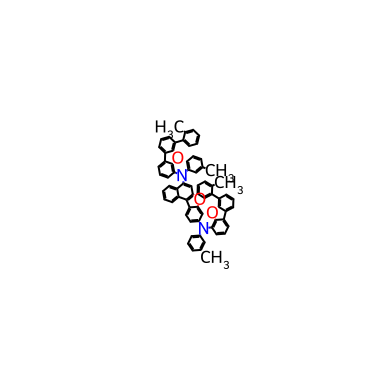 Cc1cccc(N(c2ccc3c(c2)oc2cc(N(c4cccc(C)c4)c4cccc5c4oc4c(-c6ccccc6C)cccc45)c4ccccc4c23)c2cccc3c2oc2c(-c4ccccc4C)cccc23)c1